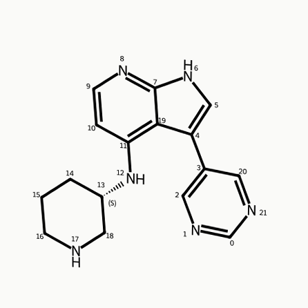 c1ncc(-c2c[nH]c3nccc(N[C@H]4CCCNC4)c23)cn1